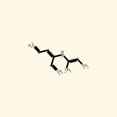 C=C/C=C(/B/C(C)=C/C)C=C